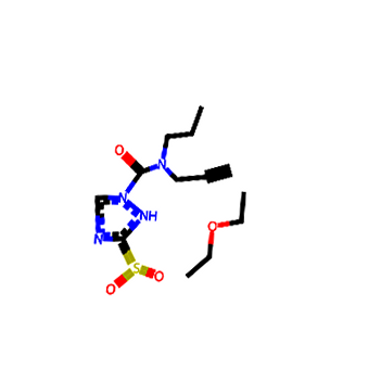 C#CCN(CCC)C(=O)n1cnc(=S(=O)=O)[nH]1.CCOCC